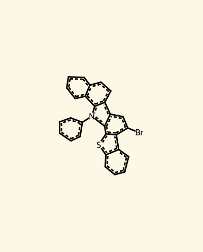 Brc1cc2c3ccc4ccccc4c3n(-c3ccccc3)c2c2sc3ccccc3c12